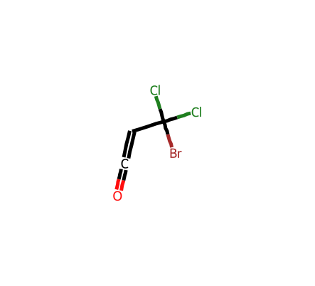 O=C=CC(Cl)(Cl)Br